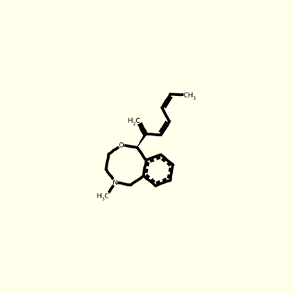 C=C(/C=C\C=C/C)[C@@H]1OCCN(C)Cc2ccccc21